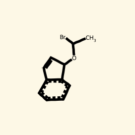 CC(Br)OC1C=[C]c2ccccc21